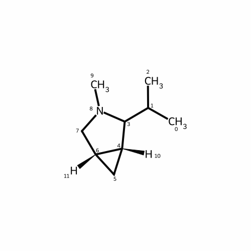 CC(C)C1[C@@H]2C[C@@H]2CN1C